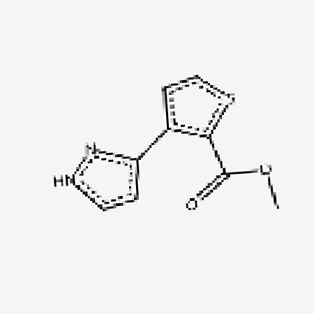 COC(=O)c1sccc1-c1cc[nH]n1